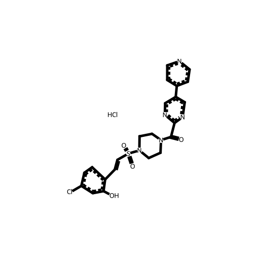 Cl.O=C(c1ncc(-c2ccncc2)cn1)N1CCN(S(=O)(=O)C=Cc2ccc(Cl)cc2O)CC1